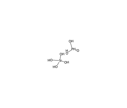 O=[PH](O)O.O[Si](O)(O)O